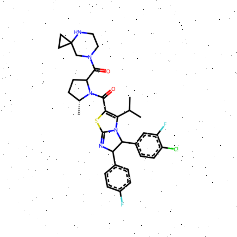 CC(C)C1=C(C(=O)N2C(C(=O)N3CCNC4(CC4)C3)CC[C@H]2C)SC2=NC(c3ccc(F)cc3)C(c3ccc(Cl)c(F)c3)N21